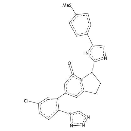 CSc1ccc(-c2cnc([C@@H]3CCc4cc(-c5cc(Cl)ccc5-n5cnnn5)cc(=O)n43)[nH]2)cc1